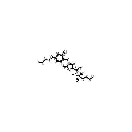 CCCCOc1ccc(Cn2cc(C(=O)NS(=O)(=O)CCCC)nc2C)c(Cl)c1